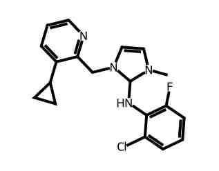 CN1C=CN(Cc2ncccc2C2CC2)C1Nc1c(F)cccc1Cl